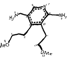 COCCc1c(N)cnc(N)c1CCOC